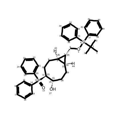 CC(C)(C)[Si](OC[C@H]1[C@@H]2CC[C@H](P(=O)(c3ccccc3)c3ccccc3)[C@@H](O)CC[C@@H]21)(c1ccccc1)c1ccccc1